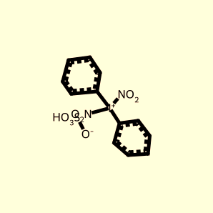 O=S(=O)([O-])O.O=[N+]([O-])[I+](c1ccccc1)(c1ccccc1)[N+](=O)[O-]